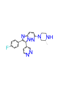 C[C@@H]1CN(c2ccc3nc(-c4ccc(F)cc4)c(-c4ccnnc4)n3n2)CCN1